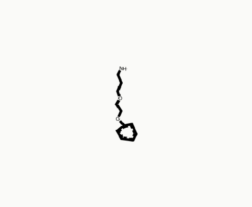 [NH]CCCOCCOc1ccccc1